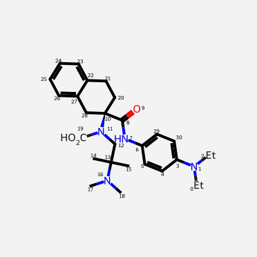 CCN(CC)c1ccc(NC(=O)[C@@]2(N(CC(C)(C)N(C)C)C(=O)O)CCc3ccccc3C2)cc1